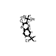 CCCOc1nc2ccc(C(C)(C)CC)cc2nc1C(C)(C)CCC